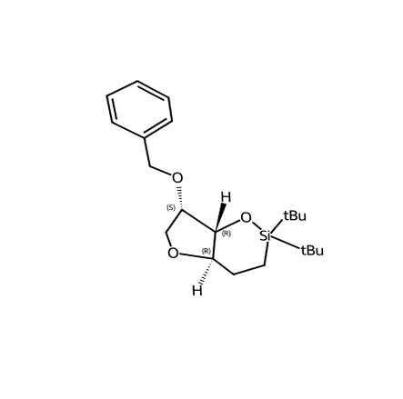 CC(C)(C)[Si]1(C(C)(C)C)CC[C@H]2OC[C@H](OCc3ccccc3)[C@@H]2O1